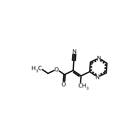 CCOC(=O)/C(C#N)=C(\C)c1cnccn1